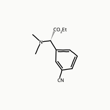 CCOC(=O)[C@H](c1cccc(C#N)c1)N(C)C